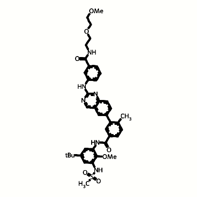 COCCOCCNC(=O)c1cccc(Nc2ncc3cc(-c4cc(C(=O)Nc5cc(C(C)(C)C)cc(NS(C)(=O)=O)c5OC)ccc4C)ccc3n2)c1